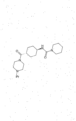 CC(C)N1CCN(C(=O)[C@H]2CC[C@H](NC(=O)N3CCCCC3)CC2)CC1